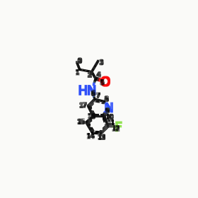 CCC(C)C(=O)Nc1cnc2c(F)cccc2c1